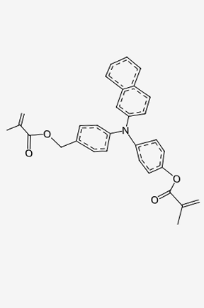 C=C(C)C(=O)OCc1ccc(N(c2ccc(OC(=O)C(=C)C)cc2)c2ccc3ccccc3c2)cc1